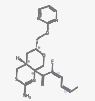 C=C(/C(F)=C\C=C/C)[C@]12CO[C@@H](COc3ncccn3)C[C@H]1CSC(N)=N2